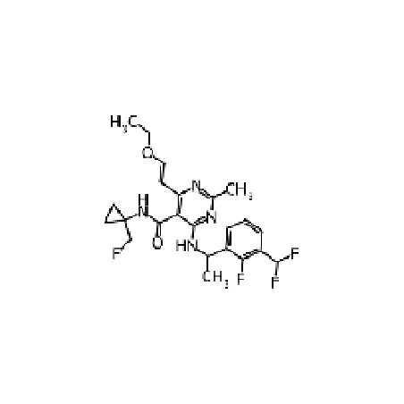 CCO/C=C/c1nc(C)nc(NC(C)c2cccc(C(F)F)c2F)c1C(=O)NC1(CF)CC1